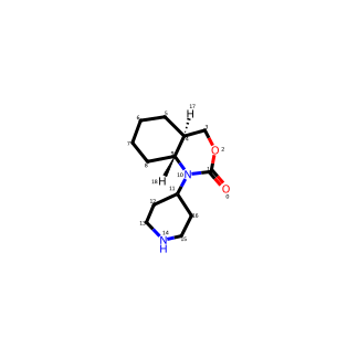 O=C1OC[C@@H]2CCCC[C@H]2N1C1CCNCC1